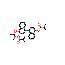 C=C(C)C(=O)OC(C)=C(C)Oc1ccc(-c2ccc(OC(=O)C(=C)C)c3ccccc23)c2ccccc12